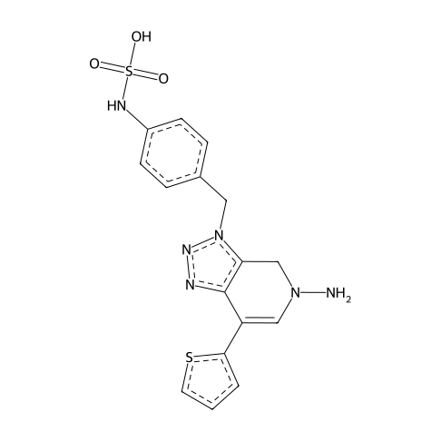 NN1C=C(c2cccs2)c2nnn(Cc3ccc(NS(=O)(=O)O)cc3)c2C1